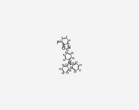 Fc1cccc2nc(-c3ccc(-n4c5ccccc5c5ccccc54)cc3)oc12